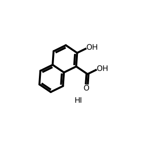 I.O=C(O)c1c(O)ccc2ccccc12